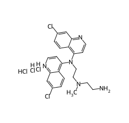 CN(CCN)CCN(c1ccnc2cc(Cl)ccc12)c1ccnc2cc(Cl)ccc12.Cl.Cl.Cl